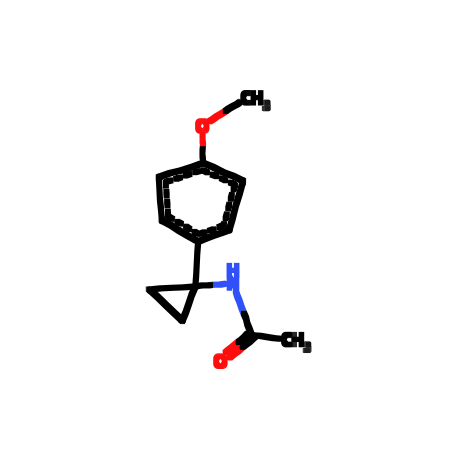 COc1ccc(C2(NC(C)=O)CC2)cc1